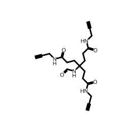 C#CCNC(=O)CCC(CCC(=O)NCC#C)(CCC(=O)NCC#C)NC=O